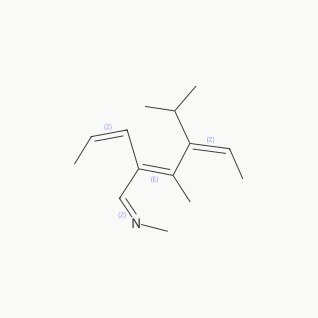 C\C=C/C(/C=N\C)=C(C)\C(=C/C)C(C)C